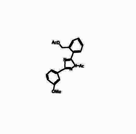 COc1cccc(-c2nc(-c3ccccc3COC(C)=O)n(C(C)=O)n2)c1